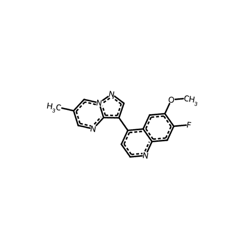 COc1cc2c(-c3cnn4cc(C)cnc34)ccnc2cc1F